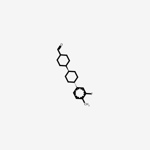 Cc1ccc([C@H]2CC[C@H](C3CCC(C=O)CC3)CC2)cc1F